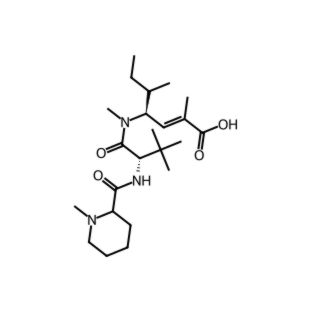 CCC(C)[C@@H](/C=C(\C)C(=O)O)N(C)C(=O)[C@@H](NC(=O)C1CCCCN1C)C(C)(C)C